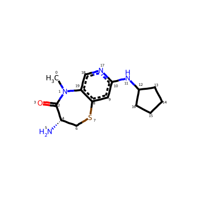 CN1C(=O)[C@@H](N)CSc2cc(NC3CCCC3)ncc21